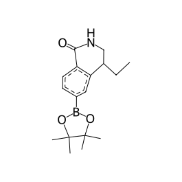 CCC1CNC(=O)c2ccc(B3OC(C)(C)C(C)(C)O3)cc21